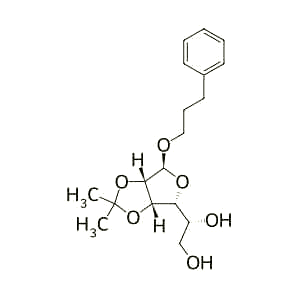 CC1(C)O[C@@H]2[C@H](O1)[C@@H](OCCCc1ccccc1)O[C@@H]2[C@H](O)CO